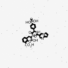 O=C(NC(C(=O)NC1Cc2cccc(C(=O)O)c2OB1O)c1ccc(P(=O)(O)O)cc1)c1cnc2cccn2c1